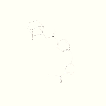 CC(=O)c1coc(Oc2ccc(C(=O)NC3C4CCN(CC4)C3C)cc2)n1